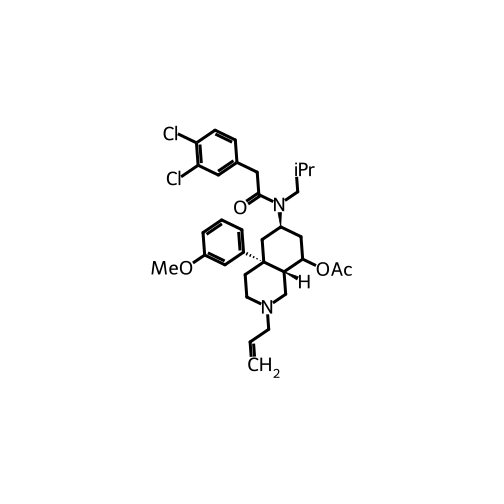 C=CCN1CC[C@@]2(c3cccc(OC)c3)C[C@@H](N(CC(C)C)C(=O)Cc3ccc(Cl)c(Cl)c3)CC(OC(C)=O)[C@@H]2C1